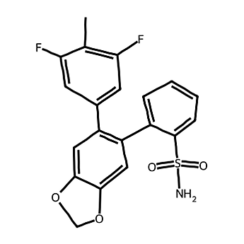 Cc1c(F)cc(-c2cc3c(cc2-c2ccccc2S(N)(=O)=O)OCO3)cc1F